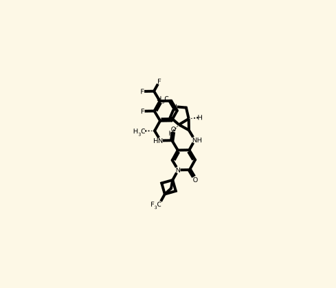 C[C@@H](NC(=O)c1cn(C23CC(C(F)(F)F)(C2)C3)c(=O)cc1NC1[C@H]2CN(C)C[C@@H]12)c1cccc(C(F)F)c1F